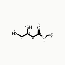 CCOC(=O)CC(S)CS